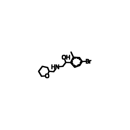 Cc1cc(Br)ccc1C(O)CNCC1CCCCO1